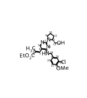 CCOC(=O)/C(C)=C/c1cnc(N2CCC[C@H]2CO)nc1NCc1ccc(OC)c(Cl)c1